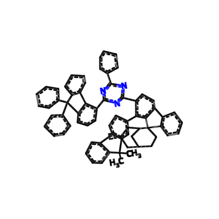 CCC1CC2CCC3(c4ccccc4-c4ccc(-c5nc(-c6ccccc6)nc(-c6cccc7c6-c6ccccc6C7(c6ccccc6)c6ccccc6)n5)c(-c5ccc6c(c5)C(C)(C)c5ccccc5-6)c43)C(C1)C2